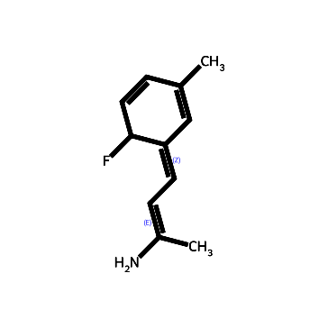 CC1=C/C(=C/C=C(\C)N)C(F)C=C1